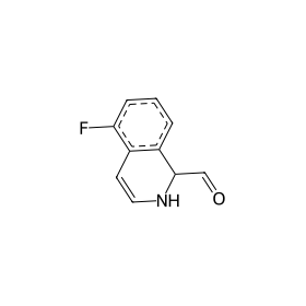 O=CC1NC=Cc2c(F)cccc21